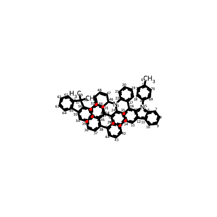 Cc1ccc(-n2c3ccccc3c3cccc(-c4ccccc4N(c4ccccc4-c4cccc5cccc(-c6ccccc6)c45)C4C=CC=C(c5cccc6c5C(C)(C)c5ccccc5-6)C4C)c32)cc1